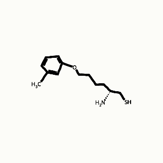 Cc1cccc(OCCCC[C@@H](N)CS)c1